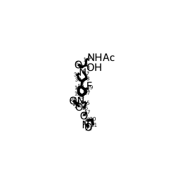 CC(=O)NC[C@H](O)C(=O)N1CC=C(c2ccc(N3C[C@H](COc4ccon4)OC3=O)cc2F)CC1